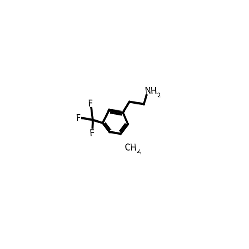 C.NCCc1cccc(C(F)(F)F)c1